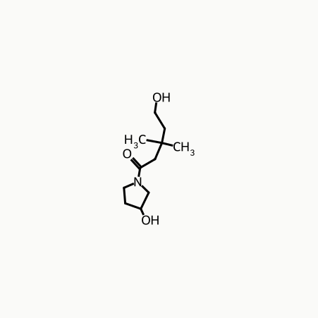 CC(C)(CCO)CC(=O)N1CCC(O)C1